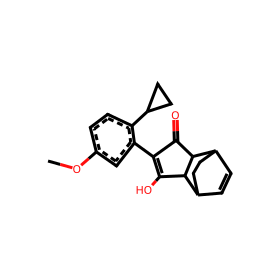 COc1ccc(C2CC2)c(C2=C(O)C3C4C=CC(CC4)C3C2=O)c1